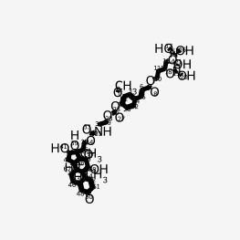 COc1cc(/C=C/C(=O)OCCC(CON(O)O)ON(O)O)ccc1OC(=O)OCCNC(=O)OCC(=O)[C@@]1(O)[C@H](O)C[C@H]2[C@@H]3CCC4=CC(=O)C=C[C@]4(C)[C@@]3(F)[C@@H](O)C[C@@]21C